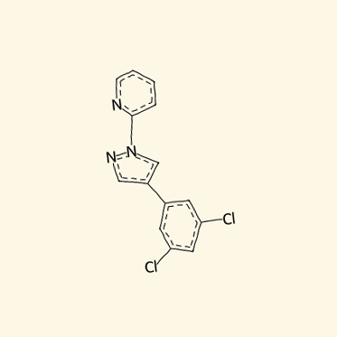 Clc1cc(Cl)cc(-c2cnn(-c3ccccn3)c2)c1